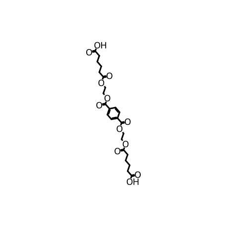 O=C(O)CCCCC(=O)OCCOC(=O)c1ccc(C(=O)OCCOC(=O)CCCCC(=O)O)cc1